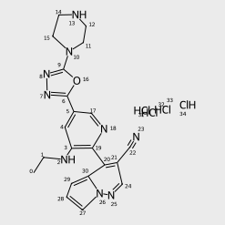 CCNc1cc(-c2nnc(N3CCNCC3)o2)cnc1-c1c(C#N)cnn2cccc12.Cl.Cl.Cl.Cl